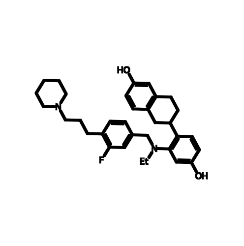 CCN(Cc1ccc(CCCN2CCCCC2)c(F)c1)c1cc(O)ccc1C1CCc2cc(O)ccc2C1